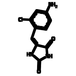 Nc1ccc(/C=C2/NC(=O)NC2=O)c(Cl)c1